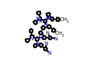 Cc1ccc(-c2ccc3c(c2)c2ccccc2n3-c2cc(-c3cc(-c4ccccc4)nc(-c4ccccc4)n3)cc(-n3c4ccccc4c4cc(-c5ccc(C)cc5)ccc43)c2)cc1.N#Cc1ccc(-c2ccc3c(c2)c2ccccc2n3-c2cc(-c3cc(-c4ccccc4)cc(-c4ccccc4)n3)cc(-n3c4ccccc4c4cc(-c5ccc(C#N)cc5C#N)ccc43)c2)c(C#N)c1